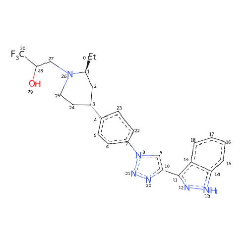 CC[C@H]1C[C@H](c2ccc(-n3cc(-c4n[nH]c5ccccc45)nn3)cc2)CCN1CC(O)C(F)(F)F